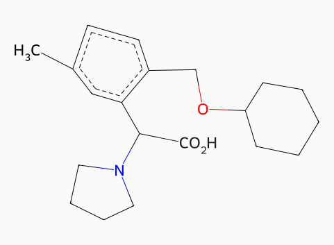 Cc1ccc(COC2CCCCC2)c(C(C(=O)O)N2CCCC2)c1